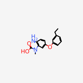 CCc1cccc(Oc2ccc(N)c(N(C)C(=O)O)c2)c1